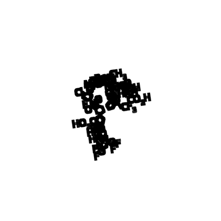 CCCCCOC(=O)COc1cc(N2C(=O)C3=C(CCCC3)C2=O)c(F)cc1Cl.COc1nc(C)nc(NC(=O)NS(=O)(=O)c2ccccc2CCC(F)(F)F)n1.O=C(Nc1nc(OC(F)F)cc(OC(F)F)n1)NS(=O)(=O)c1ccccc1C(=O)O.O=C(O)CNCP(=O)(O)O